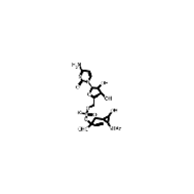 C=CC(C=O)(CC1C(O)C1NC(C)=O)OP(=O)(O)OC[C@H]1O[C@@H](n2ccc(N)nc2=O)C(O)C1O